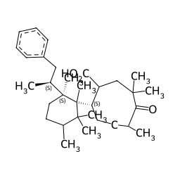 CC1CC[C@H](C2(C)C(C)(C)C(C)CC[C@@]2(C)[C@@H](C)Cc2ccccc2)C(C(=O)O)CC(C)(C)C1=O